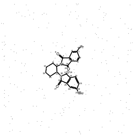 CC(C)c1ccc2c(c1)C(=O)N(C1CCCCC1N1C(=O)c3ccc(C(C)(C)C)cc3C1=O)C2=O